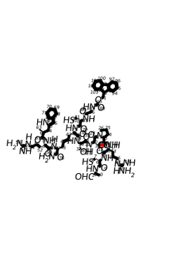 C[C@@H](C=O)NC(=O)[C@H](CS)NC(=O)[C@H](CCCNC(=N)N)NC(=O)C1CCCN1C(=O)[C@H](CC(=O)O)NC(=O)[C@H](CO)NC(=O)[C@H](CC=CC[C@H](NC(=O)[C@H](CCCNC(=N)N)NC(=O)[C@@H](C)Cc1cc2ccccc2[nH]1)C(N)=O)NC(=O)[C@H](CS)NC(=O)CNC(=O)OCC1c2ccccc2-c2ccccc21